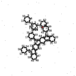 c1ccc(-c2cc(-c3ccccc3)nc(-c3cccc(-n4c5cc6c(cc5c5cc7c8ccccc8n(-c8ccccc8)c7cc54)c4ccccc4n6-c4ccccc4)c3)n2)cc1